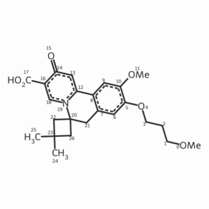 COCCCOc1cc2c(cc1OC)-c1cc(=O)c(C(=O)O)cn1C1(C2)CC(C)(C)C1